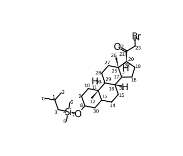 CC(C)C[Si](C)(C)OC1CC[C@@]2(C)C(CC[C@H]3[C@@H]4CC[C@H](C(=O)CBr)[C@@]4(C)CC[C@@H]32)C1